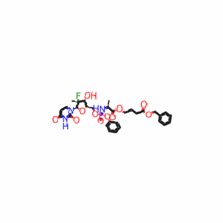 C[C@H](NP(=O)(OC[C@H]1O[C@@H](n2ccc(=O)[nH]c2=O)[C@](C)(F)[C@@H]1O)Oc1ccccc1)C(=O)OCCCC(=O)OCc1ccccc1